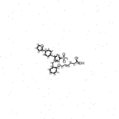 CS(=O)(=O)c1nc(-c2ccc(-c3ccco3)cc2)n(Cc2ccccc2OCCCCCC(=O)O)n1